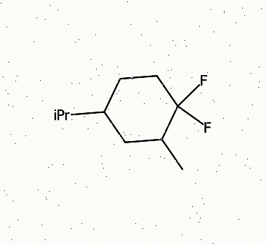 CC(C)C1CCC(F)(F)C(C)C1